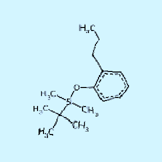 CCCc1ccccc1O[Si](C)(C)C(C)(C)C